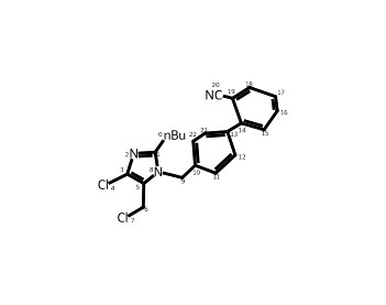 CCCCc1nc(Cl)c(CCl)n1Cc1ccc(-c2ccccc2C#N)cc1